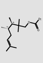 CCC(=O)OCC(C)(C)[C@H](C)[C@@H](C)CC=C(C)C